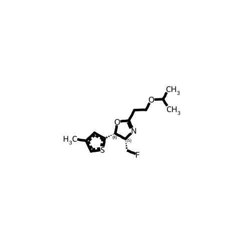 Cc1csc([C@@H]2OC(CCOC(C)C)=N[C@@H]2CF)c1